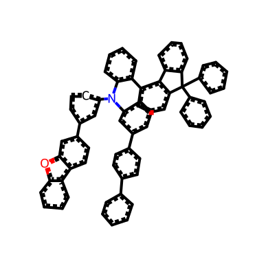 c1ccc(-c2ccc(-c3cccc(N(c4cccc(-c5ccc6c(c5)oc5ccccc56)c4)c4ccccc4-c4cccc5c4-c4ccccc4C5(c4ccccc4)c4ccccc4)c3)cc2)cc1